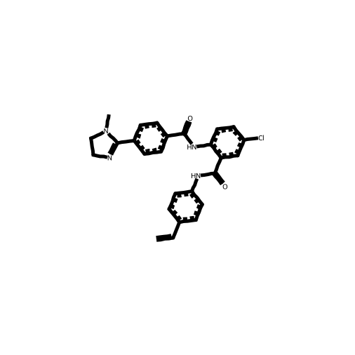 C=Cc1ccc(NC(=O)c2cc(Cl)ccc2NC(=O)c2ccc(C3=NCCN3C)cc2)cc1